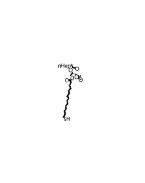 CCCCCCCC(=O)O[C@H](COP=O)COC(=O)CCCCCCCCCCCCCCS